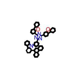 C1=C(c2cc3ccccc3c3ccccc23)c2c(c3ccccc3n2-c2cccc(-c3nc(-c4ccc5c(c4)oc4ccccc45)nc(-c4cccc5c4oc4ccccc45)n3)c2)CC1